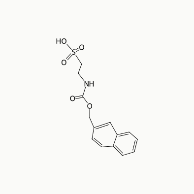 O=C(NCCS(=O)(=O)O)OCc1ccc2ccccc2c1